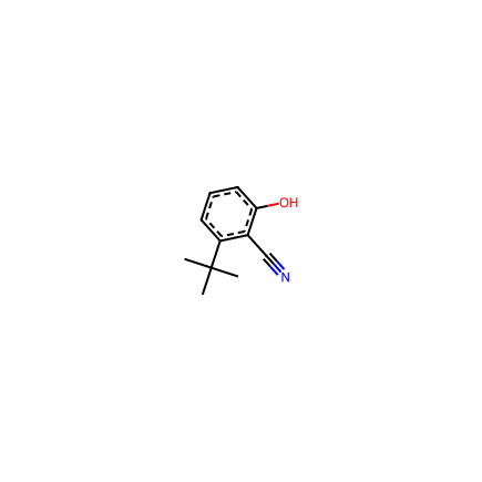 CC(C)(C)c1cccc(O)c1C#N